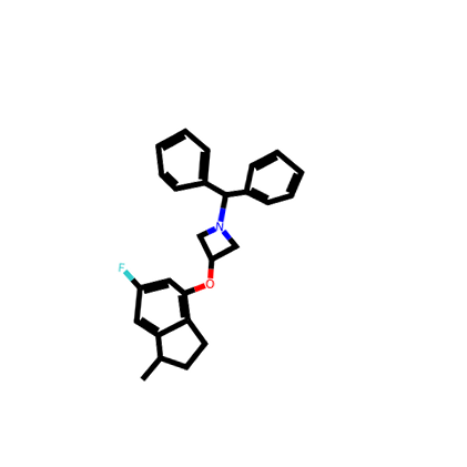 CC1CCc2c(OC3CN(C(c4ccccc4)c4ccccc4)C3)cc(F)cc21